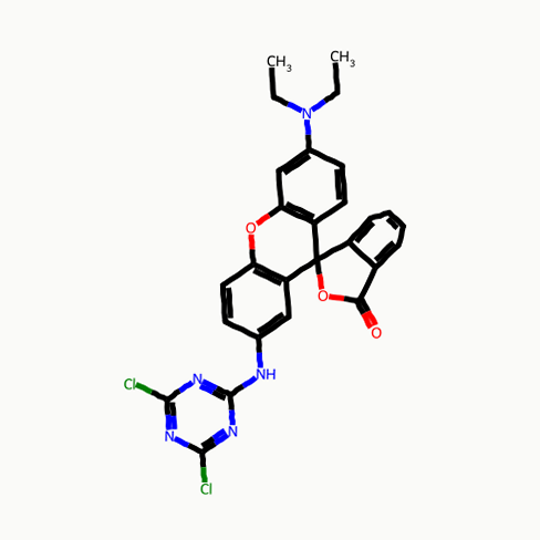 CCN(CC)c1ccc2c(c1)Oc1ccc(Nc3nc(Cl)nc(Cl)n3)cc1C21OC(=O)c2ccccc21